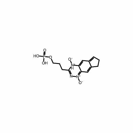 O=P(O)(O)OCCCC1=N[N+]([O-])=c2cc3c(cc2[NH+]1[O-])=CCC3